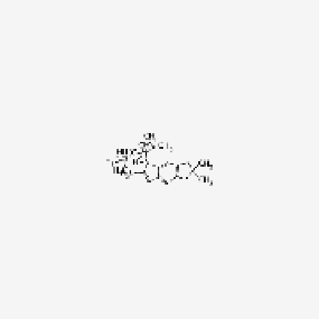 CC1=Cc2cc3c(cc2[CH]1[Ti]([CH3])([CH3])([NH]C(C)(C)C)=[Si](C)C)CC(C)(C)C3